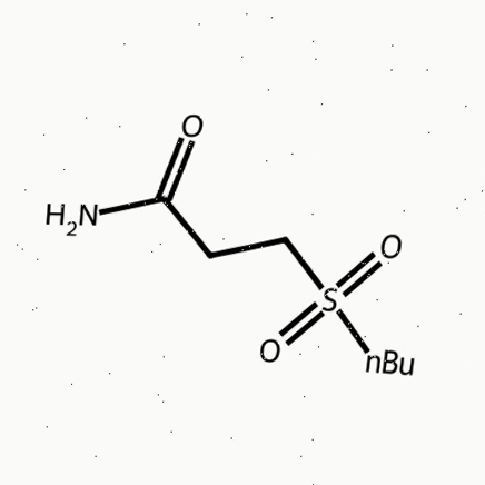 CCCCS(=O)(=O)CCC(N)=O